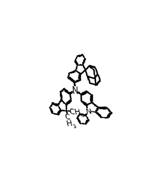 CC1(C)c2ccccc2-c2ccc(N(c3ccc4c(c3)C3(c5ccccc5-4)C4CC5CC(C4)CC3C5)c3ccc4c5ccccc5n(-c5ccccc5)c4c3)cc21